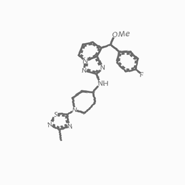 COC(c1ccc(F)cc1)c1cccn2nc(NC3CCN(c4nc(C)ns4)CC3)nc12